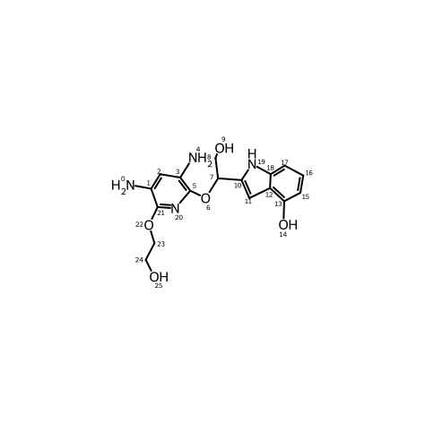 Nc1cc(N)c(OC(CO)c2cc3c(O)cccc3[nH]2)nc1OCCO